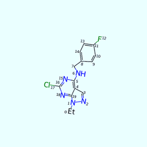 CCn1ncc2c(NCc3ccc(F)cc3)nc(Cl)nc21